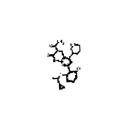 CC(Oc1cccc(O)c1-c1cc(C2CCCNC2)c2c(n1)NC(=O)C(C(N)=O)C2)C1CC1